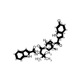 CC(C)(C)[C@H](NC(=O)c1cc2ccccc2[nH]1)C(=O)N1C[C@@H]2C[C@H]1CN2C(=O)c1cc2ccc(Cl)cc2[nH]1